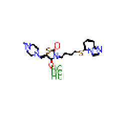 CN1CCN(C=C2SC(=O)N(CCCCSc3cccc4nccn34)C2=O)CC1.Cl.Cl.Cl